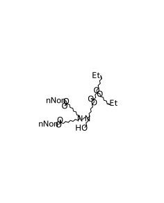 CC/C=C\CCCCOC(CCC(=O)OCCCCCCN(CCCO)CCN(CCCCCCCC(=O)OCCCCCCCCC)CCCCCCCC(=O)OCCCCCCCCC)OCCCC/C=C\CC